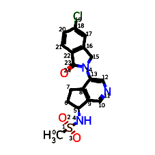 CS(=O)(=O)N[C@H]1CCc2c1cncc2N1Cc2cc(Cl)ccc2C1=O